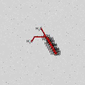 CCCCCCCC/C=C\CCCCCCCCCCCCCCCC(=O)N[C@@H](CO[C@@H]1OC(CO)[C@@H](O[C@@H]2OC(CO)[C@H](O[C@@H]3OC(CO)[C@H](O)[C@H](O[C@H]4OC(CO)[C@H](O)[C@H](O[C@H]5OC(CO)[C@H](O)[C@H](O[C@H]6OC(CO)[C@H](O)[C@H](O[C@H]7OC(CO)[C@H](O)[C@H](O[C@H]8OC(CO)[C@H](O)[C@H](O)C8O)C7O)C6O)C5O)C4O)C3O)[C@H](O)C2O)[C@H](O)C1O)[C@H](O)/C=C/CCCCCCCCCCCCC